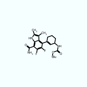 Cc1[nH]c2c(C(N)=O)c(F)c(F)c(C3=CC(NC(=O)OC(C)(C)C)CCC3)c2c1C